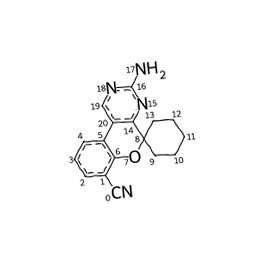 N#Cc1cccc2c1OC1(CCCCC1)c1nc(N)ncc1-2